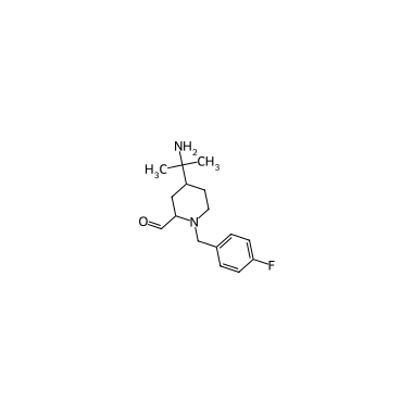 CC(C)(N)C1CCN(Cc2ccc(F)cc2)C(C=O)C1